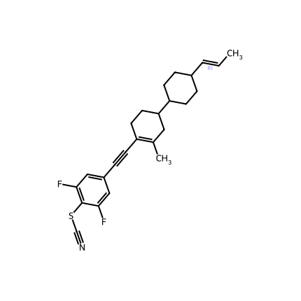 C/C=C/C1CCC(C2CCC(C#Cc3cc(F)c(SC#N)c(F)c3)=C(C)C2)CC1